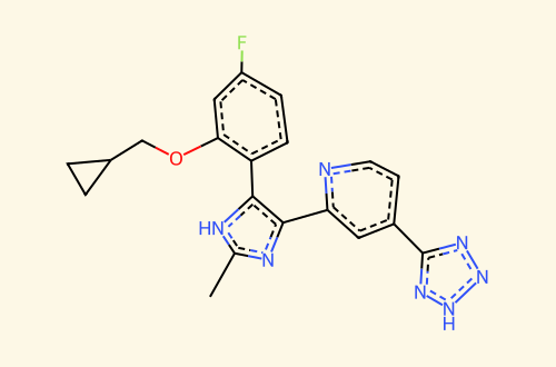 Cc1nc(-c2cc(-c3nn[nH]n3)ccn2)c(-c2ccc(F)cc2OCC2CC2)[nH]1